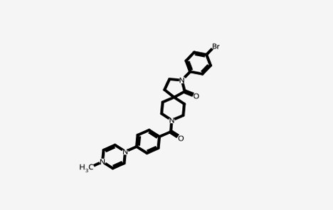 CN1C=CN(c2ccc(C(=O)N3CCC4(CC3)CCN(c3ccc(Br)cc3)C4=O)cc2)C=C1